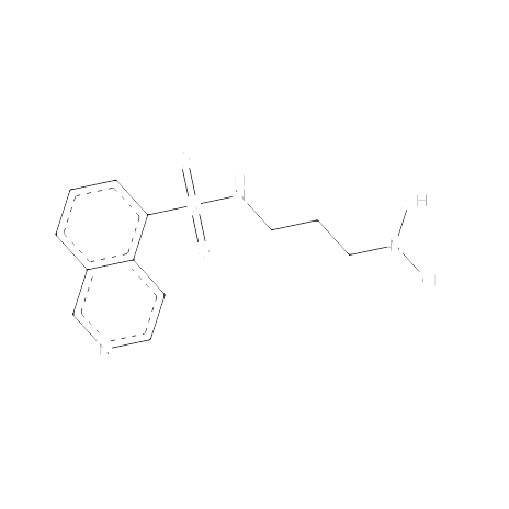 CN(C)CCCNS(=O)(=O)c1cccc2cnccc12